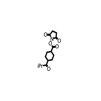 CC(C)C(=O)C1CCC(C(=O)ON2C(=O)CCC2=O)CC1